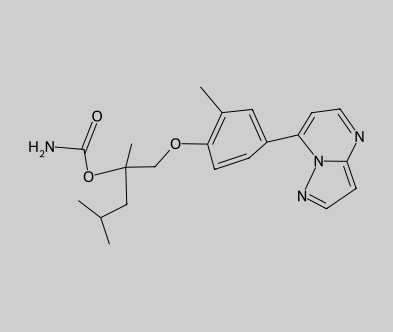 Cc1cc(-c2ccnc3ccnn23)ccc1OCC(C)(CC(C)C)OC(N)=O